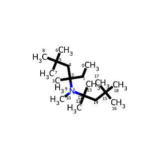 CCC(C)(CC(C)(C)C)N(C)C(C)(C)CC(C)(C)C